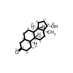 C[C@]12CC[C@H]3[C@@H](CCC4CC(=O)CC[C@@H]43)[C@@H]1CC[C@@H]2O